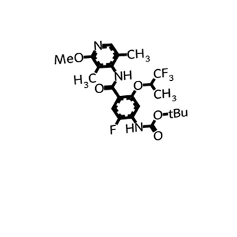 COc1ncc(C)c(NC(=O)c2cc(F)c(NC(=O)OC(C)(C)C)cc2OC(C)C(F)(F)F)c1C